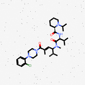 C/C(=C\C(C(C)C)N(C)C(=O)[C@@H](NC(=O)[C@H]1CCCCN1C(C)C)C(C)C)C(=O)N1CCN(c2ccccc2Cl)CC1